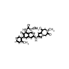 C=C1CN(C)C(=O)Cn2nc(Nc3cc4cc(-c5cnccc5C)c(F)c(NC(=O)OC(C)(C)C)c4cn3)cc21